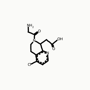 NCC(=O)N1CCc2c(Cl)ccnc2C1CC(=O)O